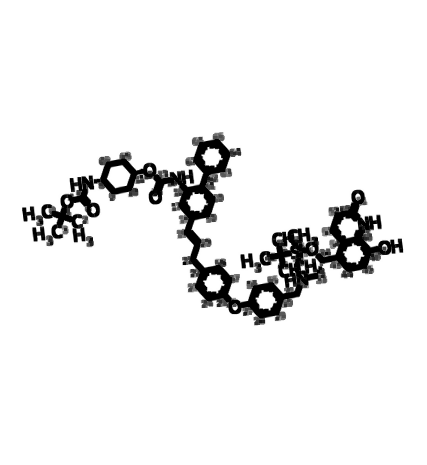 CC(C)(C)OC(=O)N[C@H]1CC[C@H](OC(=O)Nc2cc(C=CCc3ccc(Oc4ccc(CNC[C@H](O[Si](C)(C)C(C)(C)C)c5ccc(O)c6[nH]c(=O)ccc56)cc4)cc3)ccc2-c2ccccc2)CC1